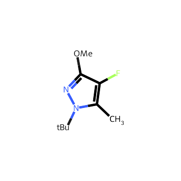 COc1nn(C(C)(C)C)c(C)c1F